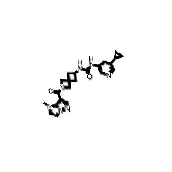 Cn1ccn2ncc(C(=O)N3CC4(CC(NC(=O)Nc5cncc(C6CC6)c5)C4)C3)c12